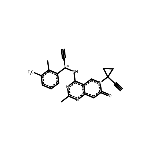 C#C[C@@H](Nc1nc(C)nc2cc(=O)n(C3(C#C)CC3)cc12)c1cccc(C(F)(F)F)c1C